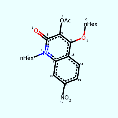 CCCCCCOc1c(OC(C)=O)c(=O)n(CCCCCC)c2cc([N+](=O)[O-])ccc12